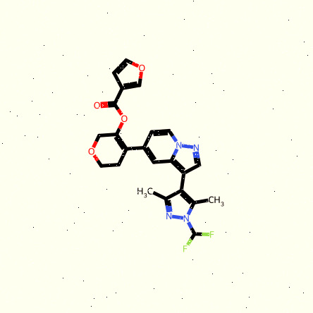 Cc1nn(C(F)F)c(C)c1-c1cnn2ccc(C3=C(OC(=O)c4ccoc4)COCC3)cc12